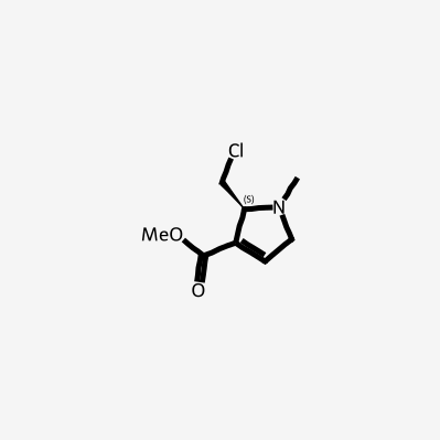 COC(=O)C1=CCN(C)[C@@H]1CCl